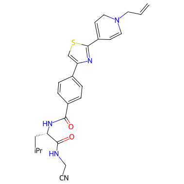 C=CCN1C=CC(c2nc(-c3ccc(C(=O)N[C@@H](CC(C)C)C(=O)NCC#N)cc3)cs2)=CC1